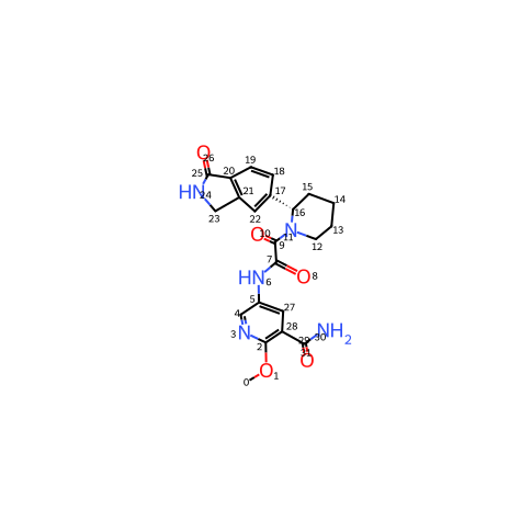 COc1ncc(NC(=O)C(=O)N2CCCC[C@H]2c2ccc3c(c2)CNC3=O)cc1C(N)=O